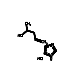 C=CCC(C)O.Cl.c1c[nH]cn1